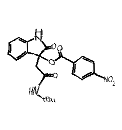 CC(C)(C)NC(=O)CC1(OC(=O)c2ccc([N+](=O)[O-])cc2)C(=O)Nc2ccccc21